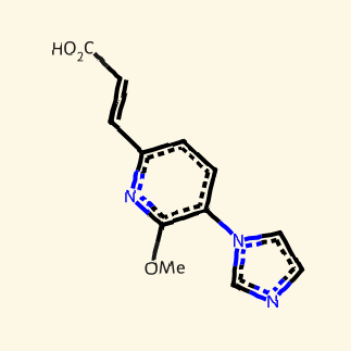 COc1nc(/C=C/C(=O)O)ccc1-n1ccnc1